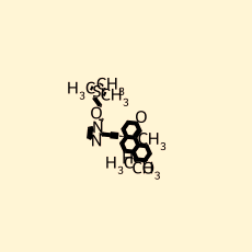 CC1(C)C(=O)CC[C@]2(C)C3=CC(=O)CC[C@]3(C#Cc3nccn3COCC[Si](C)(C)C)CC[C@@H]12